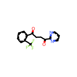 O=C(CCC(=O)c1ccccc1C(F)(F)F)c1ncccn1